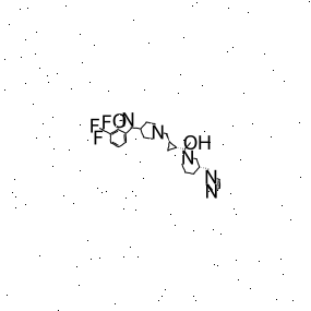 OC([C@@H]1C[C@H]1CN1CCC(c2noc3c(C(F)(F)F)cccc23)CC1)N1CCC[C@@H](Cn2ccnc2)C1